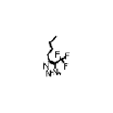 CCCCc1nnn(C)c1C(F)(F)F